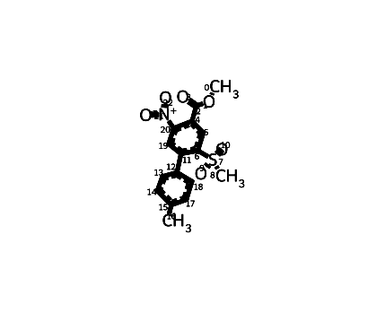 COC(=O)c1cc(S(C)(=O)=O)c(-c2ccc(C)cc2)cc1[N+](=O)[O-]